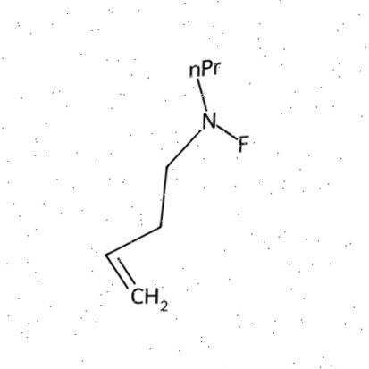 C=CCCN(F)CCC